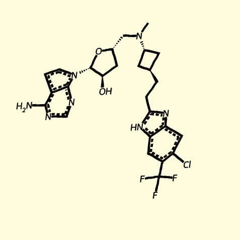 CN(C[C@@H]1C[C@@H](O)[C@H](n2ccc3c(N)ncnc32)O1)[C@H]1C[C@H](CCc2nc3cc(Cl)c(C(F)(F)F)cc3[nH]2)C1